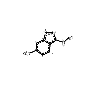 CC(C)Nc1n[nH]c2cc([N+](=O)[O-])ccc12